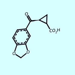 O=C(O)C1C[C@@H]1C(=O)c1ccc2c(c1)OCO2